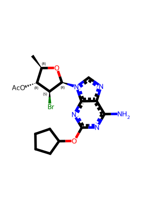 CC(=O)O[C@H]1[C@H](Br)[C@H](n2cnc3c(N)nc(OC4CCCC4)nc32)O[C@@H]1C